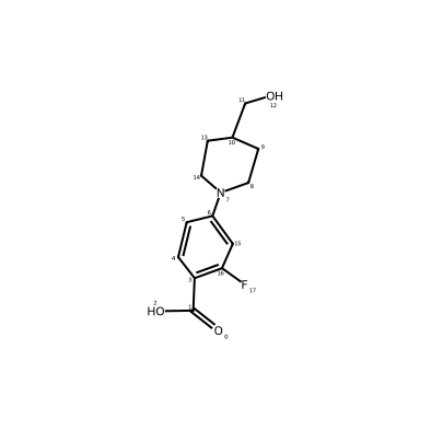 O=C(O)c1ccc(N2CCC(CO)CC2)cc1F